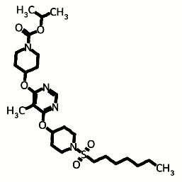 CCCCCCCS(=O)(=O)N1CCC(Oc2ncnc(OC3CCN(C(=O)OC(C)C)CC3)c2C)CC1